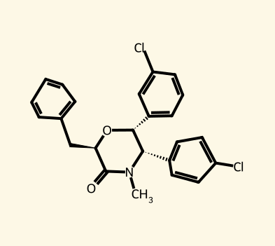 CN1C(=O)[C@@H](Cc2ccccc2)O[C@H](c2cccc(Cl)c2)[C@@H]1c1ccc(Cl)cc1